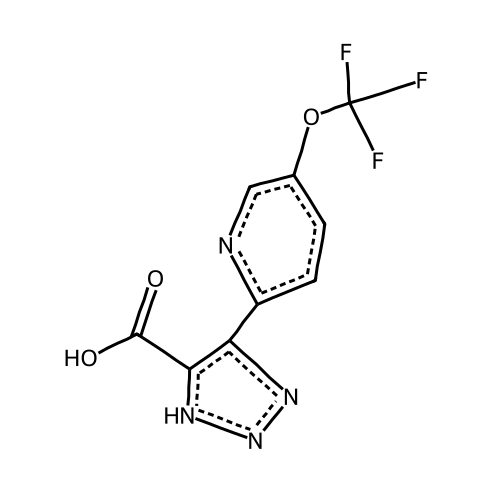 O=C(O)c1[nH]nnc1-c1ccc(OC(F)(F)F)cn1